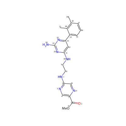 COC(=O)c1cnc(NCCNc2cc(-c3cccc(C)c3C)nc(N)n2)cn1